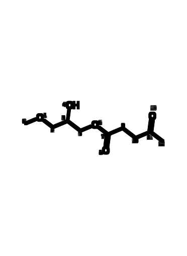 COCC(O)COC(=O)CCC(C)=O